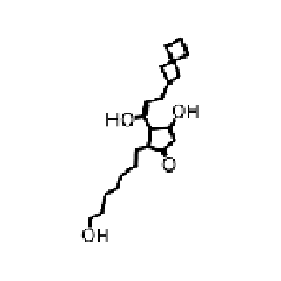 O=C1CC(O)C(/C(O)=C\CC2CC3(CCC3)C2)C1CCCCCCCO